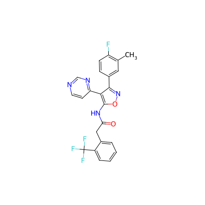 Cc1cc(-c2noc(NC(=O)Cc3ccccc3C(F)(F)F)c2-c2ccncn2)ccc1F